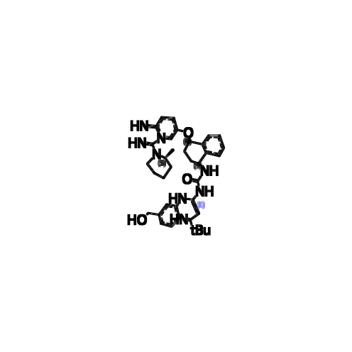 C[C@H]1CCCCN1C(=N)n1cc(O[C@@H]2CC[C@H](NC(=O)N/C(=C/C(=N)C(C)(C)C)Nc3cccc(CO)c3)c3ccccc32)ccc1=N